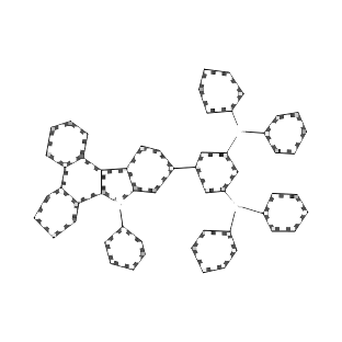 c1ccc(N(c2ccccc2)c2cc(-c3ccc4c5c6ccccc6c6ccccc6c5n(-c5ccccc5)c4c3)cc(N(c3ccccc3)c3ccccc3)c2)cc1